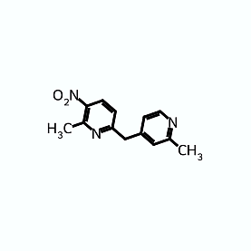 Cc1cc(Cc2ccc([N+](=O)[O-])c(C)n2)ccn1